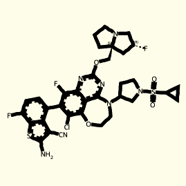 N#Cc1c(N)sc2c(F)ccc(-c3c(Cl)c4c5c(nc(OC[C@@]67CCCN6C[C@H](F)C7)nc5c3F)N(C3CCN(S(=O)(=O)C5CC5)C3)CCO4)c12